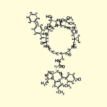 Cc1sc2c(c1C)C(c1ccc(Cl)cc1)=N[C@@H](CC(=O)NC[C@H]1CCCNC(=O)[C@@H](Cc3ccc(-c4ccccc4)cc3)NC(=O)[C@@H]3C[C@@H](O)CN3C(=O)[C@H](C(C)(C)C)n3cc(nn3)C3(CC3)CNC3OC31)c1nnc(C)n1-2